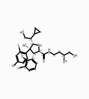 N#C[C@]1(c2ccc(Cl)cc2F)[C@H](C(CO)C2CC2)N[C@@H](C(=O)NCC[C@H](O)CO)[C@@H]1c1cccc(Cl)c1F